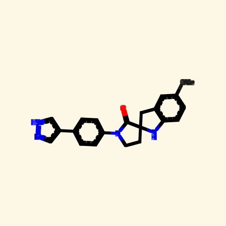 COc1ccc2c(c1)CC1(CCN(c3ccc(-c4cn[nH]c4)cc3)C1=O)N2